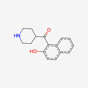 O=C(c1c(O)ccc2ccccc12)C1CCNCC1